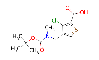 CN(Cc1csc(C(=O)O)c1Cl)C(=O)OC(C)(C)C